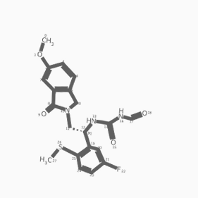 COc1ccc2c(c1)C(=O)N(C[C@H](NC(=O)NC=O)c1cc(F)ccc1SC)C2